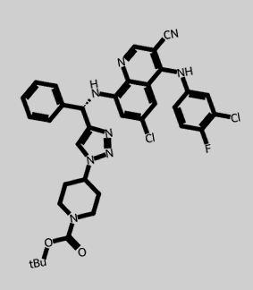 CC(C)(C)OC(=O)N1CCC(n2cc([C@@H](Nc3cc(Cl)cc4c(Nc5ccc(F)c(Cl)c5)c(C#N)cnc34)c3ccccc3)nn2)CC1